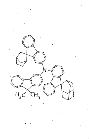 CC1(C)c2ccccc2-c2cc(N(c3ccc4c(c3)C3(CC5CCC3C5)c3ccccc3-4)c3cccc4c3-c3ccccc3C43C4CC5CC(C4)CC3C5)ccc21